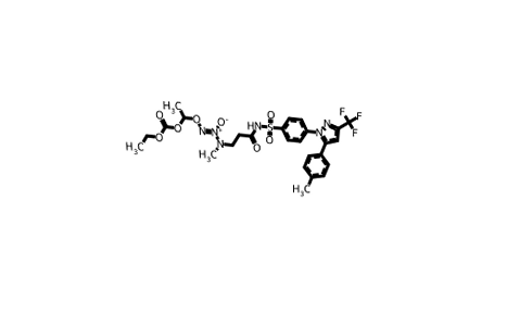 CCOC(=O)OC(C)O/N=[N+](\[O-])N(C)CCC(=O)NS(=O)(=O)c1ccc(-n2nc(C(F)(F)F)cc2-c2ccc(C)cc2)cc1